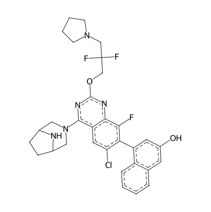 Oc1cc(-c2c(Cl)cc3c(N4CC5CCC(C4)N5)nc(OCC(F)(F)CN4CCCC4)nc3c2F)c2ccccc2c1